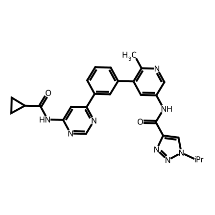 Cc1ncc(NC(=O)c2cn(C(C)C)nn2)cc1-c1cccc(-c2cc(NC(=O)C3CC3)ncn2)c1